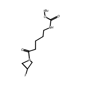 CC(C)(C)OC(=O)NCCCCC(=O)N1CC(F)C1